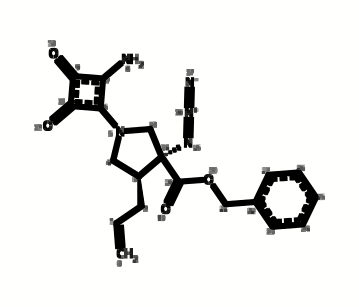 C=CC[C@H]1CN(c2c(N)c(=O)c2=O)C[C@@]1(N=[N+]=[N-])C(=O)OCc1ccccc1